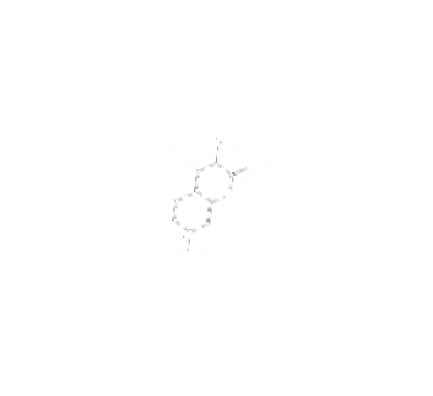 Cl.Nc1c(O)c2ccc(O)cc2oc1=O